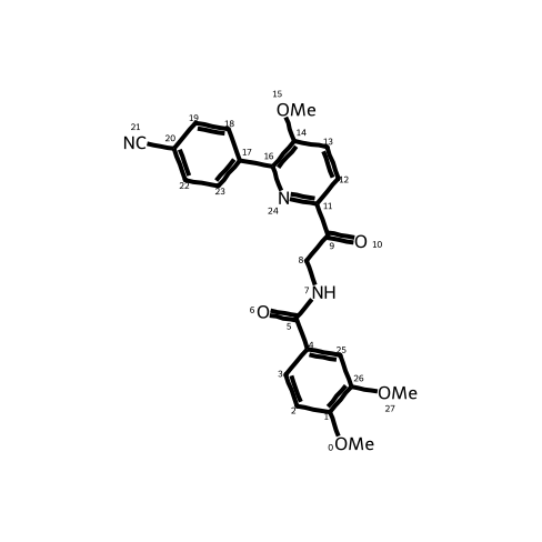 COc1ccc(C(=O)NCC(=O)c2ccc(OC)c(-c3ccc(C#N)cc3)n2)cc1OC